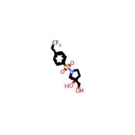 O=S(=O)(c1ccc(CC(F)(F)F)cc1)N1CCC(O)(CO)C1